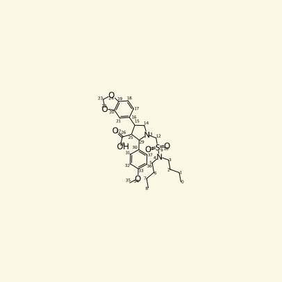 CCCCN(CCCC)S(=O)(=O)CN1CC(c2ccc3c(c2)OCO3)C(C(=O)O)C1c1ccc(OC)cc1